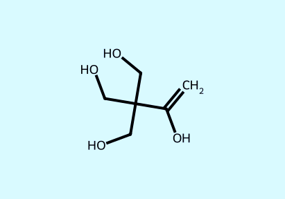 C=C(O)C(CO)(CO)CO